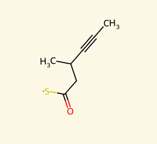 CC#CC(C)CC(=O)[S]